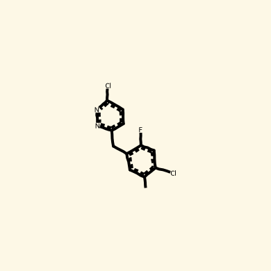 Cc1cc(Cc2ccc(Cl)nn2)c(F)cc1Cl